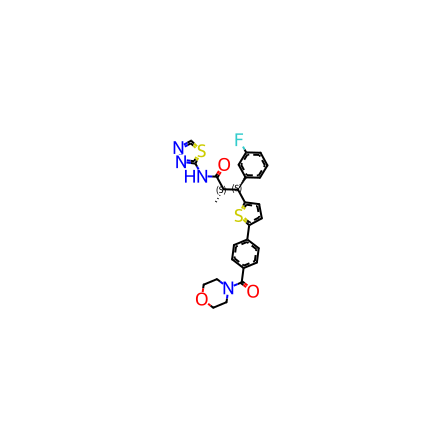 C[C@H](C(=O)Nc1nncs1)[C@@H](c1cccc(F)c1)c1ccc(-c2ccc(C(=O)N3CCOCC3)cc2)s1